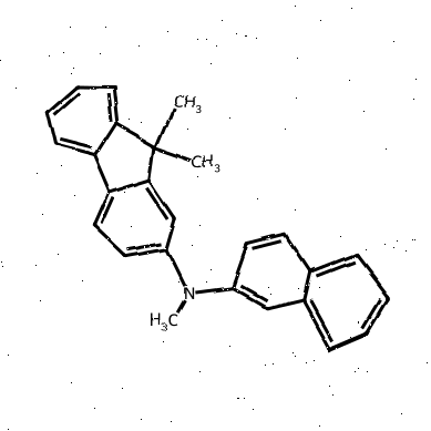 CN(c1ccc2c(c1)C(C)(C)c1ccccc1-2)c1ccc2ccccc2c1